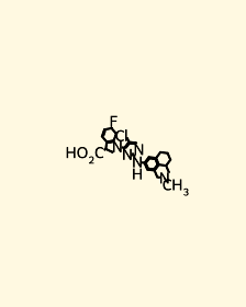 CN1Cc2cc(Nc3ncc(Cl)c(N4CC(C(=O)O)C5=C4CC(F)C=C5)n3)cc3c2C(CCC3)C1